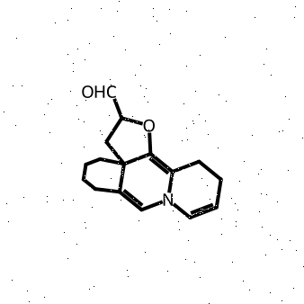 O=CC1CC23CCCCC2=CN2C=CCCC2=C3O1